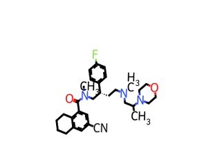 CC(CN(C)CC[C@H](CN(C)C(=O)c1cc(C#N)cc2c1CCCC2)c1ccc(F)cc1)N1CCOCC1